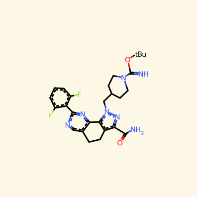 CC(C)(C)OC(=N)N1CCC(Cn2nc(C(N)=O)c3c2-c2nc(-c4c(F)cccc4F)ncc2CC3)CC1